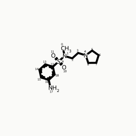 CN(CCN1CCCC1)S(=O)(=O)c1cccc(N)c1